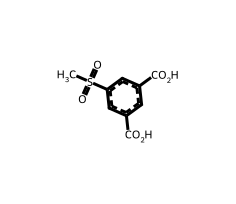 CS(=O)(=O)c1cc(C(=O)O)cc(C(=O)O)c1